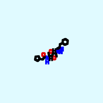 O=C(CC1CCCC1)N[C@H]1CO[C@H]2[C@@H]1OC[C@@H]2n1cc(CC2CCCCC2)nn1